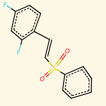 O=S(=O)(C=Cc1ccc(F)cc1F)c1ccccc1